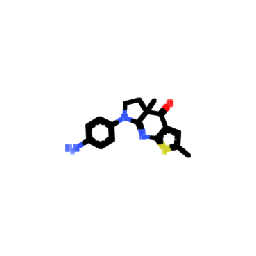 Cc1cc2c(s1)N=C1N(c3ccc(N)cc3)CCC1(C)C2=O